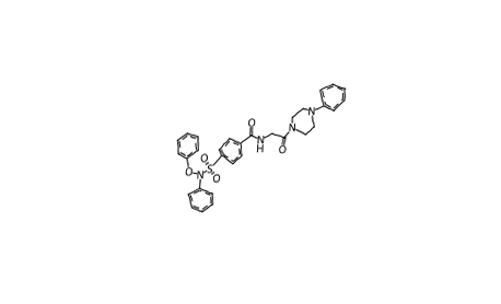 O=C(NCC(=O)N1CCN(c2ccccc2)CC1)c1ccc(S(=O)(=O)N(Oc2ccccc2)c2ccccc2)cc1